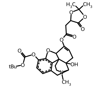 CN1CCC23c4c5ccc(OC(=O)OC(C)(C)C)c4OC2C(OC(=O)CC2OC(C)(C)OC2=O)=CCC3(O)C1C5